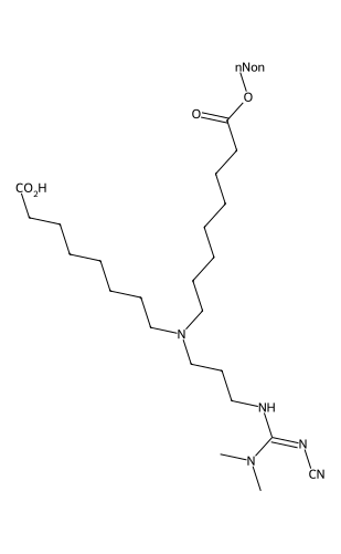 CCCCCCCCCOC(=O)CCCCCCCN(CCCCCCCC(=O)O)CCCN/C(=N/C#N)N(C)C